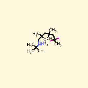 CC(I)(I)CC(C)(C)CC(C)(C)CNC(C)(C)C